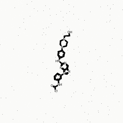 CCC(=O)Nc1cccc(-n2cnc3cnc(Nc4ccc(N5CCN(CCO)CC5)cc4)nc32)c1